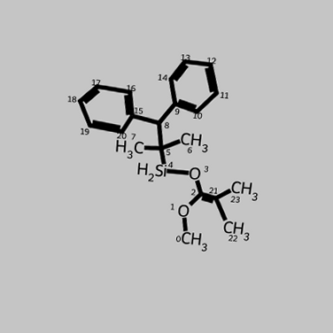 COC(O[SiH2]C(C)(C)C(c1ccccc1)c1ccccc1)=C(C)C